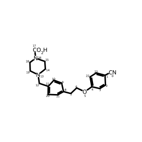 N#Cc1ccc(OCCc2ccc(CN3CCN(C(=O)O)CC3)cc2)cc1